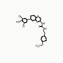 COc1ccc(CCNC(=S)Nc2cnc3ccc(-c4cc(Cl)c(O)c(Cl)c4)cc3n2)cc1